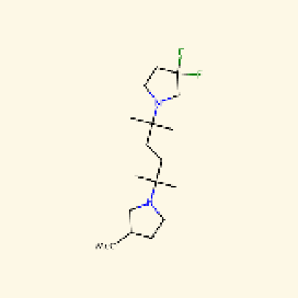 COC1CCN(C(C)(C)CCC(C)(C)N2CCC(F)(F)C2)C1